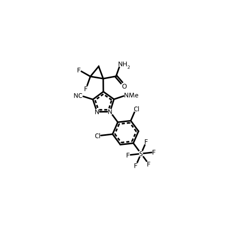 CNc1c(C2(C(N)=O)CC2(F)F)c(C#N)nn1-c1c(Cl)cc(S(F)(F)(F)(F)F)cc1Cl